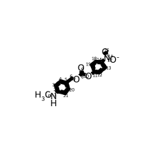 CNc1ccc(COC(=O)Oc2ccc([N+](=O)[O-])cc2)cc1